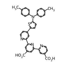 Cc1ccc(N(c2ccc(C)cc2)c2ccc(-c3ccnc(-c4cc(C(=O)O)cc(-c5cc(C(=O)O)ccn5)n4)c3)s2)cc1